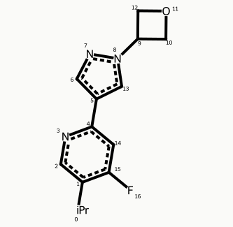 CC(C)c1cnc(-c2cnn(C3COC3)c2)cc1F